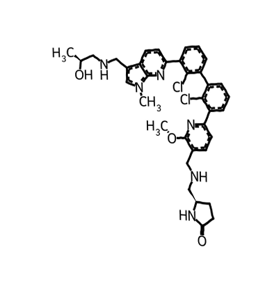 COc1nc(-c2cccc(-c3cccc(-c4ccc5c(CNC[C@H](C)O)cn(C)c5n4)c3Cl)c2Cl)ccc1CNC[C@H]1CCC(=O)N1